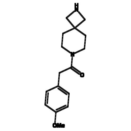 COc1ccc(CC(=O)N2CCC3(CC2)CNC3)cc1